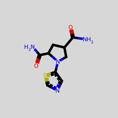 NC(=O)C1CC(C(N)=O)N(c2cncs2)C1